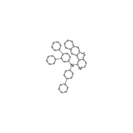 c1ccc(-c2ccc(N(c3ccc(-c4ccccc4)c(-c4ccccc4)c3)c3nccc4sc5cc6ccccc6cc5c34)cc2)cc1